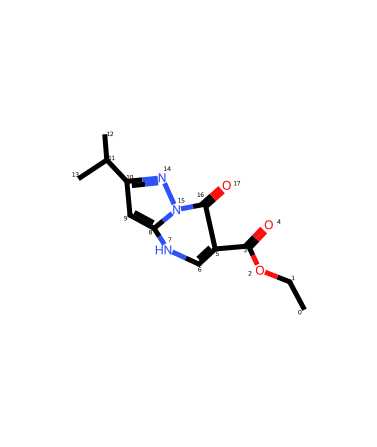 CCOC(=O)c1c[nH]c2cc(C(C)C)nn2c1=O